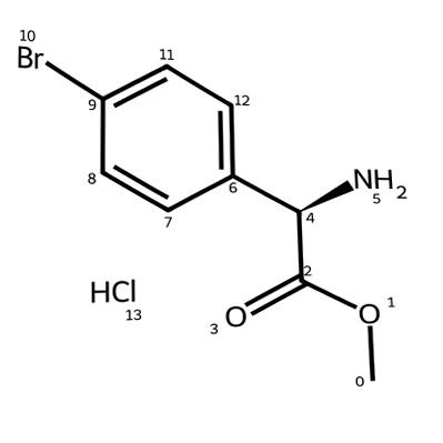 COC(=O)[C@H](N)c1ccc(Br)cc1.Cl